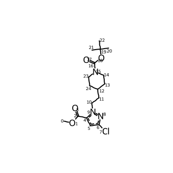 COC(=O)c1cc(Cl)nn1CCC1CCN(C(=O)OC(C)(C)C)CC1